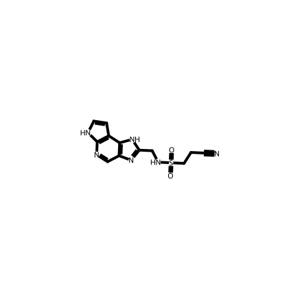 N#CCCS(=O)(=O)NCc1nc2cnc3[nH]ccc3c2[nH]1